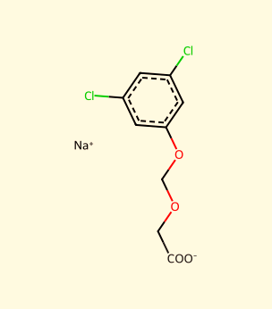 O=C([O-])COCOc1cc(Cl)cc(Cl)c1.[Na+]